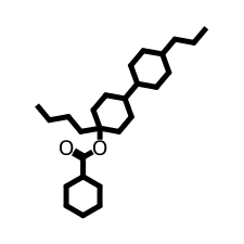 CCCCC1(OC(=O)C2CCCCC2)CCC(C2CCC(CCC)CC2)CC1